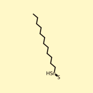 CCCCCCCCCCC[CH2][SnH]=[S]